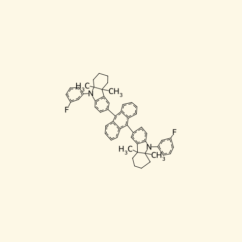 CC12CCCCC1(C)N(c1cccc(F)c1)c1ccc(-c3c4ccccc4c(-c4ccc5c(c4)C4(C)CCCCC4(C)N5c4cccc(F)c4)c4ccccc34)cc12